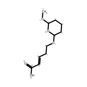 COC1CCCC(OCCC=CC(=O)O)O1